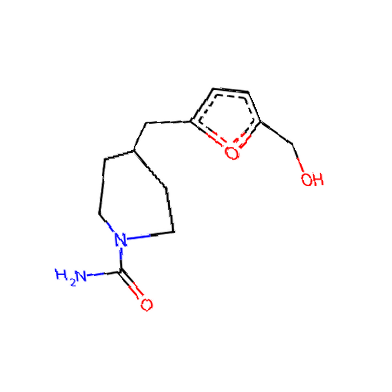 NC(=O)N1CCC(Cc2ccc(CO)o2)CC1